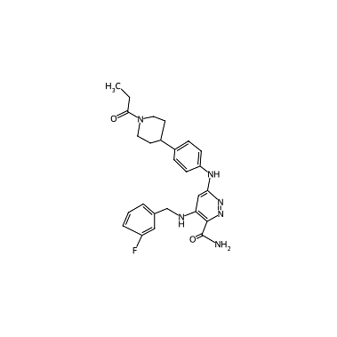 CCC(=O)N1CCC(c2ccc(Nc3cc(NCc4cccc(F)c4)c(C(N)=O)nn3)cc2)CC1